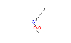 C=CC(=O)OCCN(C)CCCCCCCC